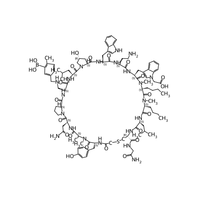 CCCC[C@H]1C(=O)N(C)[C@@H](CCCC)C(=O)N[C@@H](CC(C)C)C(=O)N[C@H](C(=O)NCC(N)=O)CSCC(=O)N[C@@H](Cc2ccc(O)cc2)C(=O)N(C)[C@@H](C)C(=O)N[C@@H](CC(N)=O)C(=O)N2CCC[C@H]2C(=O)N[C@@H](CNCc2ccc(C)c(B(O)O)c2)C(=O)N[C@@H](CC(C)C)C(=O)N2C[C@H](O)C[C@H]2C(=O)N[C@@H](Cc2c[nH]c3ccccc23)C(=O)N[C@@H](CCN)C(=O)N[C@@H](Cc2cn(CC(=O)O)c3ccccc23)C(=O)N1C